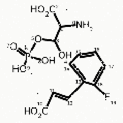 NC(C(=O)O)C(O)OP(=O)(O)O.O=C(O)/C=C/c1ccccc1F